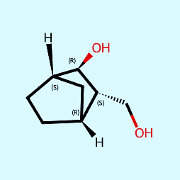 OC[C@@H]1[C@@H]2CC[C@@H](C2)[C@H]1O